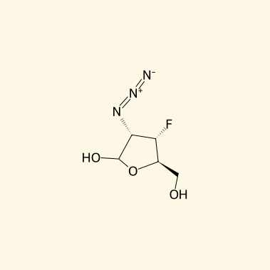 [N-]=[N+]=N[C@H]1C(O)O[C@H](CO)[C@H]1F